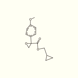 COc1ccc(C2(C(=O)OCC3CC3)CO2)cc1